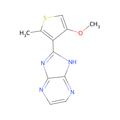 COc1csc(C)c1-c1nc2nccnc2[nH]1